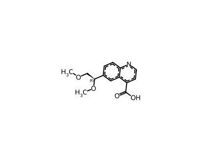 COC[C@H](OC)c1ccc2nccc(C(=O)O)c2c1